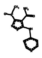 C[S+]([O-])c1nsc(Nc2ccncc2)c1C(N)=O